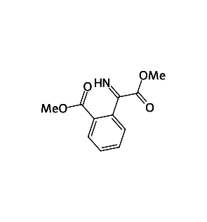 COC(=O)C(=N)c1ccccc1C(=O)OC